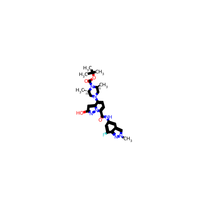 C[C@H]1CN(c2ccc(C(=O)Nc3cc(F)c4nn(C)cc4c3)n3nc(O)cc23)C[C@H](C)N1C(=O)OC(C)(C)C